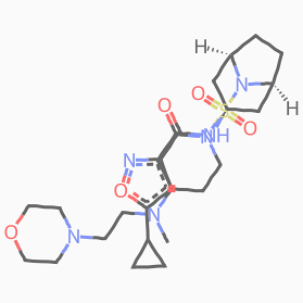 CN(CCN1CCOCC1)C1CCN(S(=O)(=O)N2[C@@H]3CC[C@H]2C[C@@H](NC(=O)c2cc(C4CC4)on2)C3)CC1